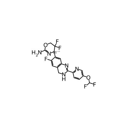 C[C@]1(c2cc3c(cc2F)CNC(c2ccc(OC(F)F)cn2)=N3)N=C(N)OCC1(F)F